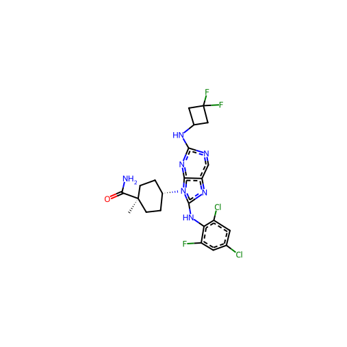 C[C@]1(C(N)=O)CC[C@H](n2c(Nc3c(F)cc(Cl)cc3Cl)nc3cnc(NC4CC(F)(F)C4)nc32)CC1